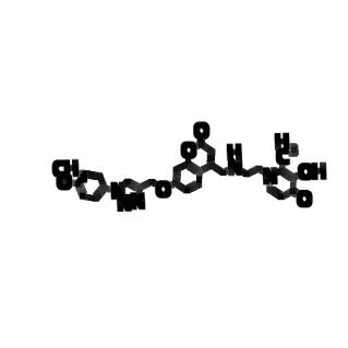 COc1ccc(-n2cc(COc3ccc4c(CNCCn5ccc(=O)c(O)c5C)cc(=O)oc4c3)nn2)cc1